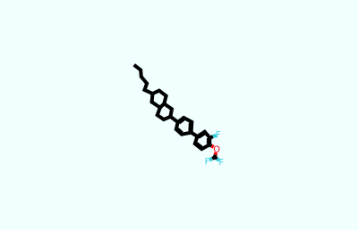 CCCCCC1CCC2CC(c3ccc(-c4ccc(OC(F)F)c(F)c4)cc3)CCC2C1